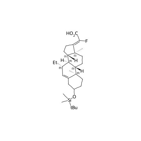 CC[C@H]1C=C2CC(O[Si](C)(C)C(C)(C)C)CC[C@]2(C)[C@H]2CC[C@]3(C)C(=C(F)C(=O)O)CC[C@H]3[C@H]12